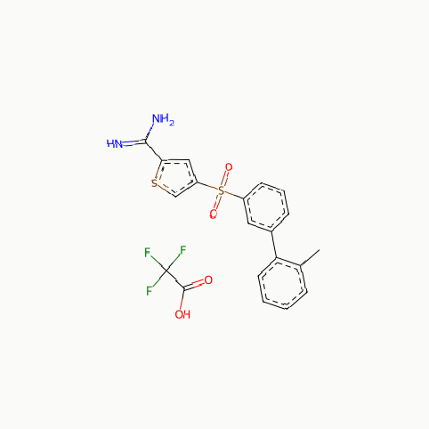 Cc1ccccc1-c1cccc(S(=O)(=O)c2csc(C(=N)N)c2)c1.O=C(O)C(F)(F)F